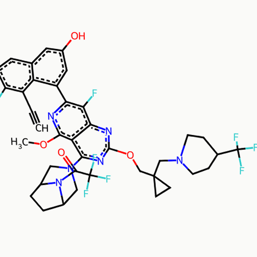 C#Cc1c(F)ccc2cc(O)cc(-c3nc(OC)c4c(N5CC6CCC(C5)N6C(=O)C(F)(F)F)nc(OCC5(CN6CCC(C(F)(F)F)CC6)CC5)nc4c3F)c12